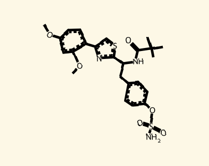 COc1ccc(-c2csc(C(Cc3ccc(OS(N)(=O)=O)cc3)NC(=O)C(C)(C)C)n2)c(OC)c1